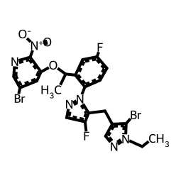 CCn1ncc(Cc2c(F)cnn2-c2ccc(F)cc2C(C)Oc2cc(Br)cnc2[N+](=O)[O-])c1Br